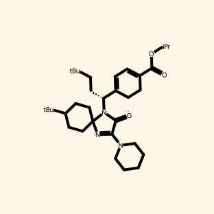 CC(C)OC(=O)C1=CC=C([C@@H](CCC(C)(C)C)N2C(=O)C(N3CCCCC3)=NC23CCC(C(C)(C)C)CC3)CC1